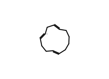 [C]1=C/CC/C=C/CCCC/C=C/C/1